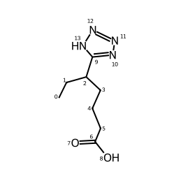 CCC(CCCC(=O)O)c1nnn[nH]1